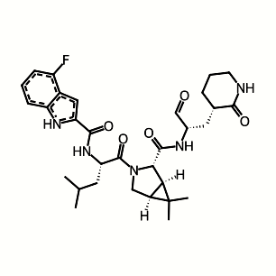 CC(C)C[C@H](NC(=O)c1cc2c(F)cccc2[nH]1)C(=O)N1C[C@H]2[C@@H]([C@H]1C(=O)N[C@H](C=O)C[C@@H]1CCCNC1=O)C2(C)C